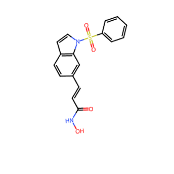 O=C(C=Cc1ccc2ccn(S(=O)(=O)c3ccccc3)c2c1)NO